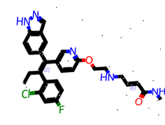 CC/C(=C(/c1ccc(OCCNC/C=C/C(=O)NC)nc1)c1ccc2[nH]ncc2c1)c1ccc(F)cc1Cl